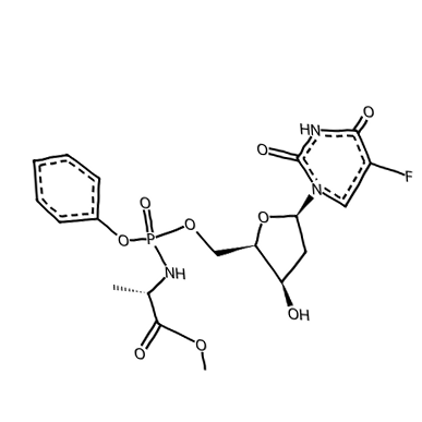 COC(=O)[C@H](C)NP(=O)(OC[C@H]1O[C@@H](n2cc(F)c(=O)[nH]c2=O)C[C@H]1O)Oc1ccccc1